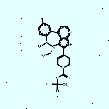 CC[C@H]1c2c(C3=CCN(C(=O)OC(C)(C)C)CC3)[nH]c3nccc(c23)-c2cc(F)ccc2N1C